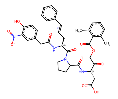 Cc1cccc(C)c1C(=O)OCC(=O)[C@H](CC(=O)O)NC(=O)C1CCCN1C(=O)[C@H](C/C=C/c1ccccc1)NC(=O)Cc1ccc(O)c([N+](=O)[O-])c1